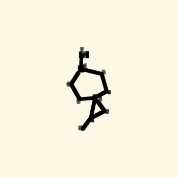 CC1CS12CCN(S)CC2